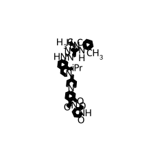 Cc1cccc(C)c1Nc1nn(C)c2nc(Nc3ccc4c(c3)C(C(C)C)N(CC3CCN(c5ccc6c(c5)C(=O)N(C5CCC(=O)NC5=O)C6=O)CC3)CC4)ncc12